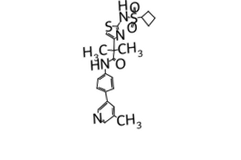 Cc1cncc(-c2ccc(NC(=O)C(C)(C)c3csc(NS(=O)(=O)C4CCC4)n3)cc2)c1